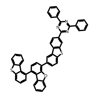 c1ccc(-c2nc(-c3ccccc3)nc(-c3ccc4c(c3)sc3ccc(-c5ccc(-c6cccc7sc8ccccc8c67)c6c5oc5ccccc56)cc34)n2)cc1